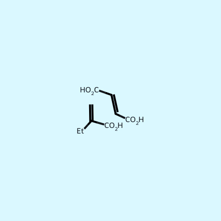 C=C(CC)C(=O)O.O=C(O)/C=C/C(=O)O